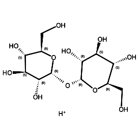 OC[C@H]1O[C@H](O[C@H]2O[C@H](CO)[C@@H](O)[C@H](O)[C@H]2O)[C@H](O)[C@@H](O)[C@@H]1O.[H+]